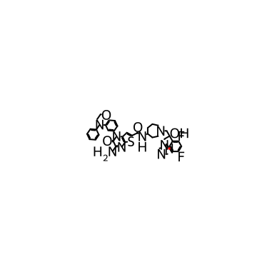 Nc1nc2sc(C(=O)NC3CCCN(CC(O)(Cn4cncn4)c4ccc(F)cc4F)CC3)cc2n(-c2ccc3c(c2)N(c2ccccc2)CCO3)c1=O